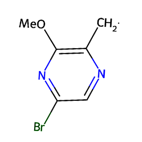 [CH2]c1ncc(Br)nc1OC